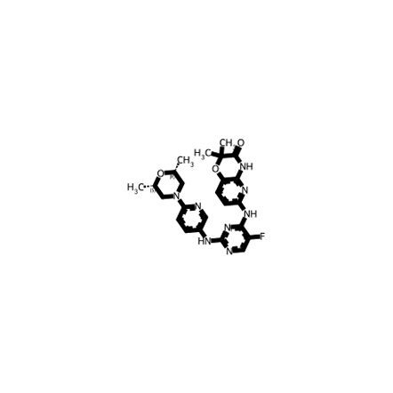 C[C@@H]1CN(c2ccc(Nc3ncc(F)c(Nc4ccc5c(n4)NC(=O)C(C)(C)O5)n3)cn2)C[C@H](C)O1